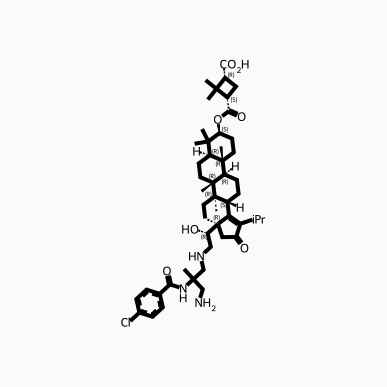 CC(C)C1=C2[C@H]3CC[C@@H]4[C@@]5(C)CC[C@H](OC(=O)[C@H]6C[C@@H](C(=O)O)C6(C)C)C(C)(C)[C@@H]5CC[C@@]4(C)[C@]3(C)CC[C@@]2([C@@H](O)CNCC(C)(CN)NC(=O)c2ccc(Cl)cc2)CC1=O